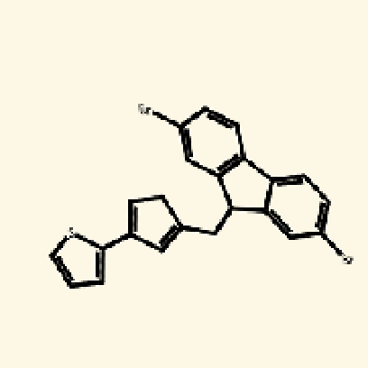 Brc1ccc2c(c1)C(CC1=CC(c3cccs3)=CC1)c1cc(Br)ccc1-2